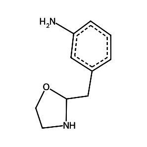 Nc1cccc(CC2NCCO2)c1